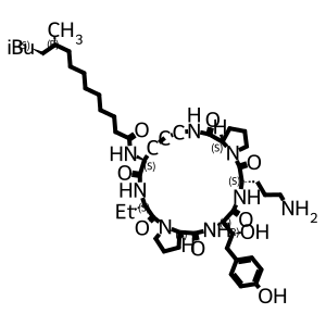 CC[C@H](C)C[C@H](C)CCCCCCCCC(=O)N[C@H]1CCCNC(=O)[C@@H]2CCCN2C(=O)[C@H](CCCN)NC(=O)[C@H]([C@H](O)Cc2ccc(O)cc2)NC(=O)[C@@H]2CCCN2C(=O)[C@H](CC)NC1=O